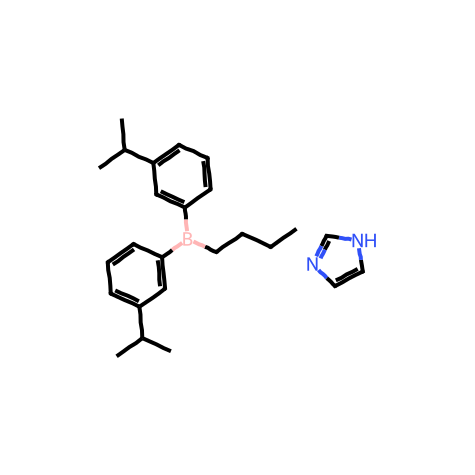 CCCCB(c1cccc(C(C)C)c1)c1cccc(C(C)C)c1.c1c[nH]cn1